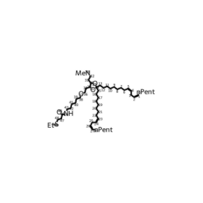 CCCCC/C=C\C/C=C\CCCCCCCCC1(CCCCCCCC/C=C\C/C=C\CCCCC)OC(CCNC)C(CCOCCCCCCNC(=O)CCSCC)O1